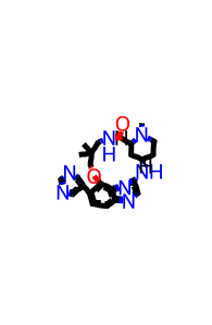 CN1CC[C@H]2C[C@H]1C(=O)NCC(C)(C)COc1c(-c3cncnc3)ccc3ncc(nc13)N2